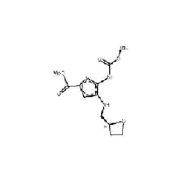 COC(=O)c1cc(NC[C@@H]2CCO2)c(NC(=O)OC(C)(C)C)s1